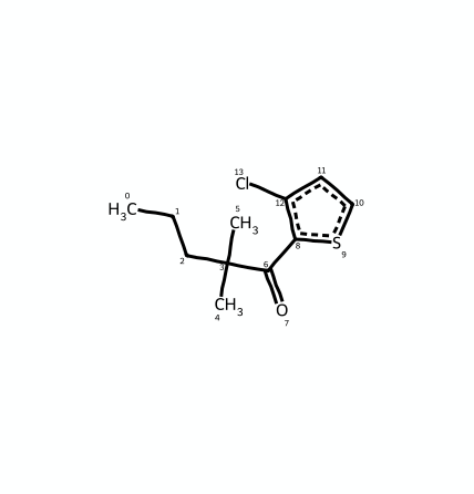 CCCC(C)(C)C(=O)c1sccc1Cl